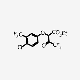 CCOC(=O)C(Oc1ccc(Cl)c(C(F)(F)F)c1)C(=O)C(F)(F)F